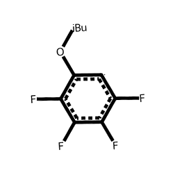 CCC(C)Oc1[c]c(F)c(F)c(F)c1F